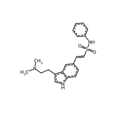 CN(C)CCc1c[nH]c2ccc(/C=C/S(=O)(=O)Nc3ccccc3)cc12